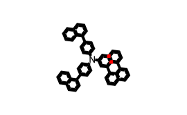 c1ccc(-c2cccc3cccc(-c4cccc(N(c5ccc(-c6cccc7ccccc67)cc5)c5ccc(-c6cccc7ccccc67)cc5)c4)c23)cc1